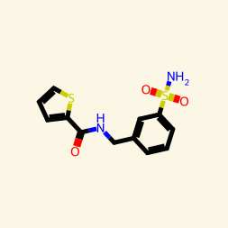 NS(=O)(=O)c1cccc(CNC(=O)c2cccs2)c1